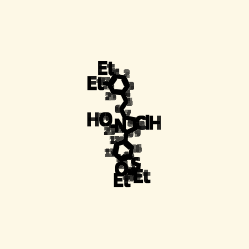 CCc1ccc(CCC2CCC(c3ccc4c(c3)SC(CC)(CC)O4)N2CO)cc1CC.Cl